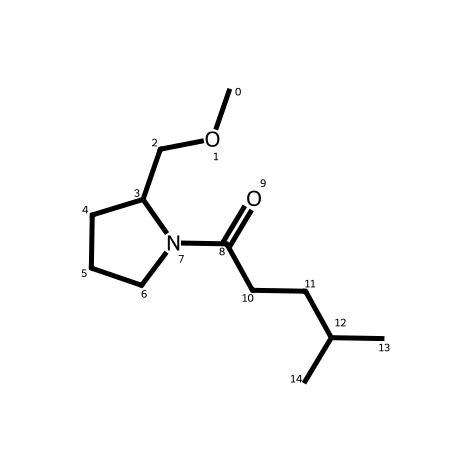 COCC1CCCN1C(=O)CCC(C)C